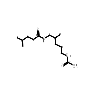 CC(C)CCC(=O)NCC(C)CCCNC(N)=O